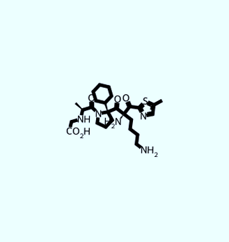 Cc1cnc(C(=O)[C@@](N)(CCCCN)C(=O)[C@]2(C3CCCCC3)CCCN2C(=O)[C@H](C)NCC(=O)O)s1